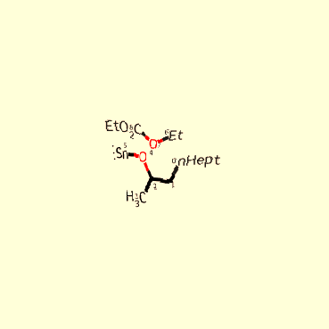 CCCCCCCCC(C)[O][Sn].CCOC(=O)OCC